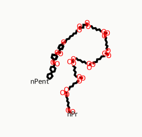 CCCCCC1CCC(C2CCC(C(=O)Oc3ccc(OC(=O)c4ccc(OCCCCCCCCOC(=O)CCC(=O)OCCCCCCOC(=O)OCCCCCCOC(=O)OCCCCCCOC(=O)OCCCCCCOC(=O)OCCCCCCOC(=O)OCCCCCCOC(=O)OCCCCCCOC(=O)CCC)cc4)cc3)CC2)CC1